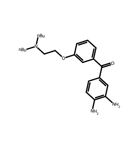 CCCCN(CCCC)CCOc1cccc(C(=O)c2ccc(N)c(N)c2)c1